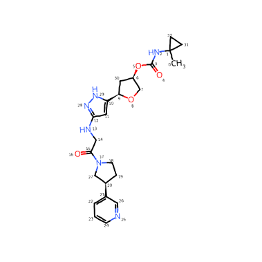 CC1(NC(=O)O[C@H]2CO[C@@H](c3cc(NCC(=O)N4CC[C@@H](c5cccnc5)C4)n[nH]3)C2)CC1